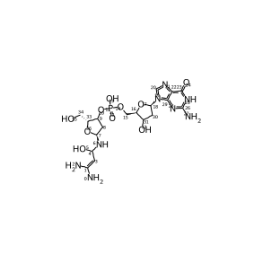 NC(N)=CC(O)N[C@@H]1CC(OP(=O)(O)OC[C@H]2O[C@@H](n3cnc4c(=O)[nH]c(N)nc43)CC2O)[C@@H](CO)O1